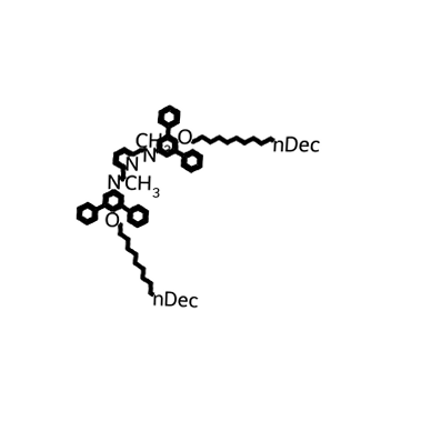 CCCCCCCCCCCCCCCCCCCCOc1c(-c2ccccc2)cc(/N=C(\C)c2cccc(/C(C)=N/c3cc(-c4ccccc4)c(OCCCCCCCCCCCCCCCCCCCC)c(-c4ccccc4)c3)n2)cc1-c1ccccc1